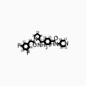 NC(c1ccc(C(=O)Nc2ccncc2)cc1)C1CCCN1C(=O)Cc1cc(F)cc(F)c1